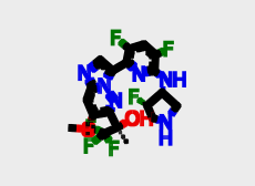 COc1cc2ncc(-c3nc(N[C@@H]4CNC[C@H]4F)c(F)cc3F)n2nc1[C@@](C)(O)C(F)(F)F